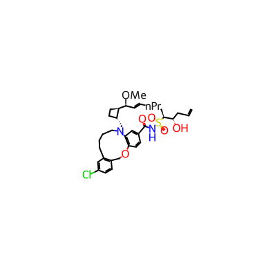 C=CC[C@H](O)[C@H](C)S(=O)(=O)NC(=O)c1ccc2c(c1)N(C[C@@H]1CC[C@H]1[C@H](/C=C/CCC)OC)CCCCc1cc(Cl)ccc1CO2